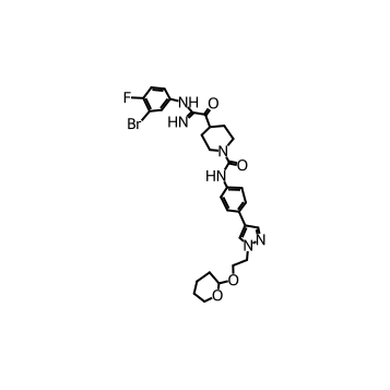 N=C(Nc1ccc(F)c(Br)c1)C(=O)C1CCN(C(=O)Nc2ccc(-c3cnn(CCOC4CCCCO4)c3)cc2)CC1